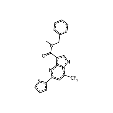 CN(Cc1ccccc1)C(=O)c1cnn2c(C(F)(F)F)cc(-c3cccs3)nc12